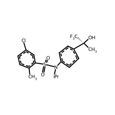 Cc1ccc(Cl)cc1S(=O)(=O)N(c1ccc([C@](C)(O)C(F)(F)F)cc1)C(C)C